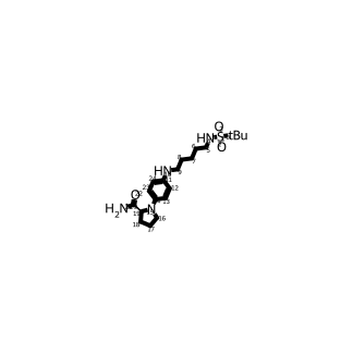 CC(C)(C)S(=O)(=O)NCCCCCNc1ccc(N2CCC[C@H]2C(N)=O)cc1